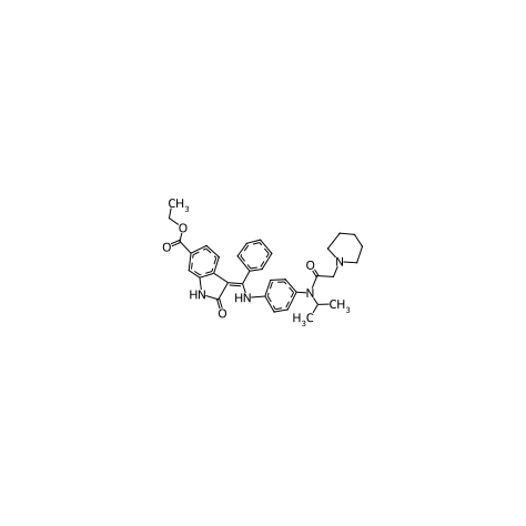 CCOC(=O)c1ccc2c(c1)NC(=O)/C2=C(\Nc1ccc(N(C(=O)CN2CCCCC2)C(C)C)cc1)c1ccccc1